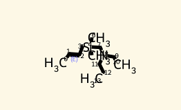 C/C=C/C[Si](C)(C)CN(CC)CCC